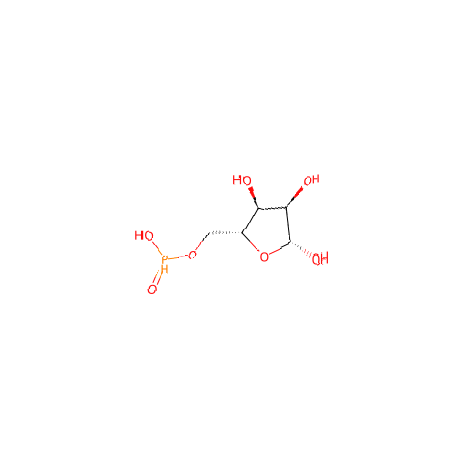 O=[PH](O)OC[C@H]1O[C@@H](O)[C@H](O)[C@@H]1O